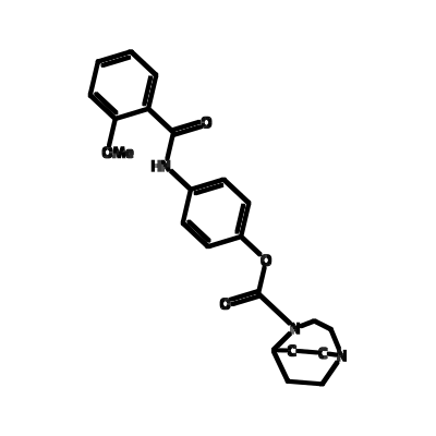 COc1ccccc1C(=O)Nc1ccc(OC(=O)N2CCN3CCC2CC3)cc1